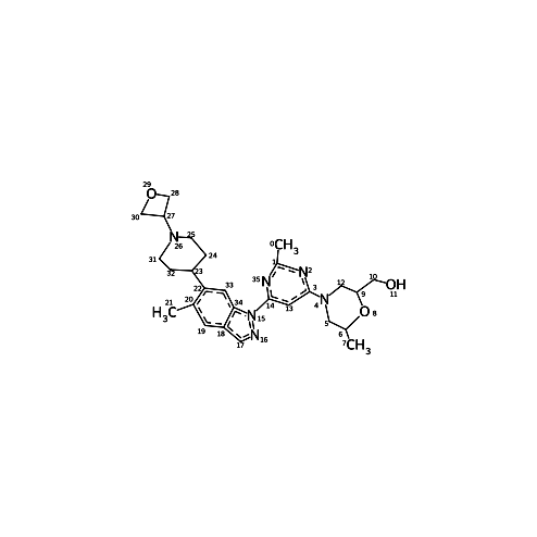 Cc1nc(N2CC(C)OC(CO)C2)cc(-n2ncc3cc(C)c(C4CCN(C5COC5)CC4)cc32)n1